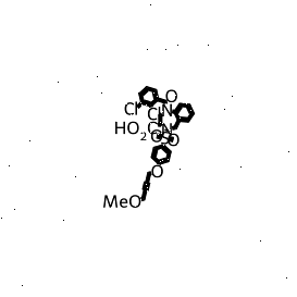 COCC#CCOc1ccc(S(=O)(=O)N2Cc3ccccc3N(C(=O)c3cccc(Cl)c3Cl)CC2C(=O)O)cc1